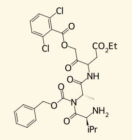 CCOC(=O)CC(NC(=O)[C@H](C)N(C(=O)OCc1ccccc1)C(=O)[C@@H](N)C(C)C)C(=O)COC(=O)c1c(Cl)cccc1Cl